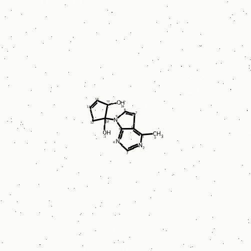 Cc1ncnc2c1ccn2C1(O)CC=CC1O